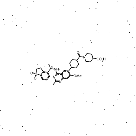 COc1cc2nc(C)nc(N[C@H](C)c3cccc4c3CCS4(=O)=O)c2cc1C1CCC(C(=O)N2CCN(C(=O)O)CC2)CC1